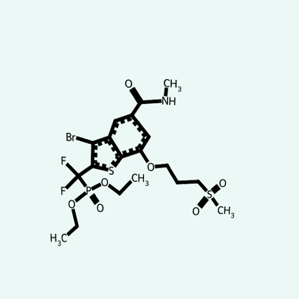 CCOP(=O)(OCC)C(F)(F)c1sc2c(OCCCS(C)(=O)=O)cc(C(=O)NC)cc2c1Br